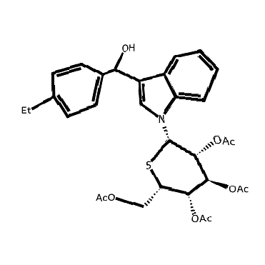 CCc1ccc(C(O)c2cn([C@H]3S[C@@H](COC(C)=O)[C@@H](OC(C)=O)[C@H](OC(C)=O)[C@H]3OC(C)=O)c3ccccc23)cc1